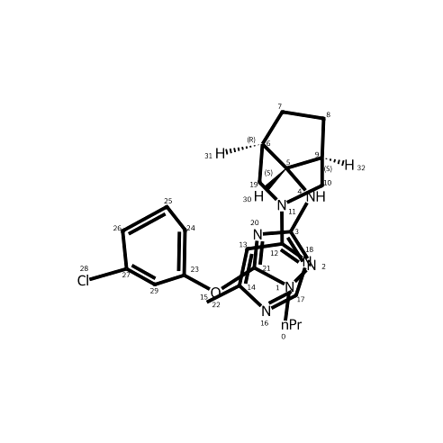 CCCn1nc(N[C@@H]2[C@@H]3CC[C@H]2CN(c2cc(C)ncn2)C3)nc1Oc1cccc(Cl)c1